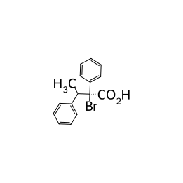 CC(c1ccccc1)[C@@](Br)(C(=O)O)c1ccccc1